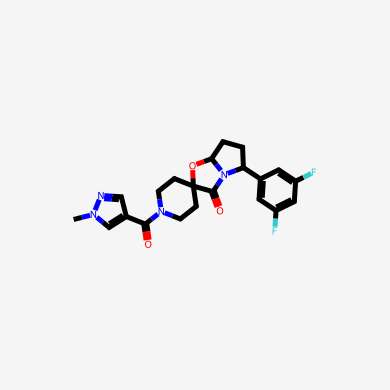 Cn1cc(C(=O)N2CCC3(CC2)OC2CCC(c4cc(F)cc(F)c4)N2C3=O)cn1